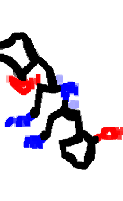 N=CC/C(=C\c1ccccc1O)N/C(=C/c1ccccc1O)CC=N